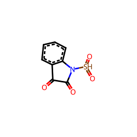 O=C1C(=O)N([SH](=O)=O)c2ccccc21